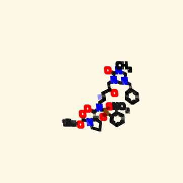 CN1CN(Cc2ccccc2)CN(CC(=O)/C=C/CN(C(=O)[C@@H]2CCCN2C(=O)OC(C)(C)C)S(=O)(=O)c2ccccc2[N+](=O)[O-])C1=O